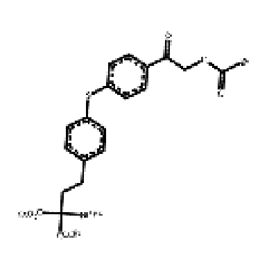 CCOC(=O)C(CCc1ccc(Sc2ccc(C(=O)COC(=O)C(C)C)cc2)cc1)(NC(C)=O)C(=O)OCC